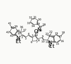 CCN1/C(=C/C=C2\CCC(/C=C/C3N(CC)c4ccc(C)cc4C3(C)C)=C2O/N=C(/C)c2ccccc2)C(C)(C)c2cc(C)ccc21